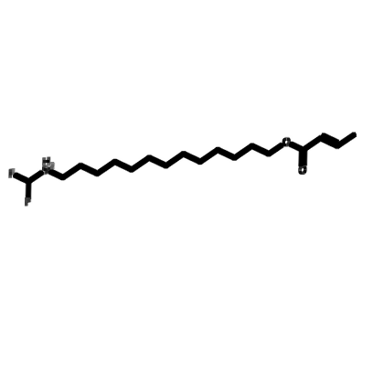 CC=CC(=O)OCCCCCCCCCCCCC[SiH2]C(F)F